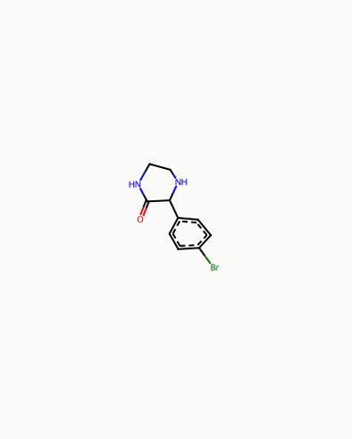 O=C1NCCNC1c1ccc(Br)cc1